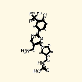 NCc1cnc(-c2ccc(Cl)c(C(F)(F)F)c2)nc1N1CCC(CNC(=O)O)C1